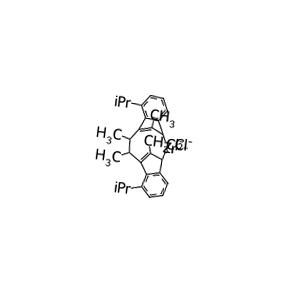 CC1=C2c3c(C(C)C)cccc3[CH]1[Zr+2][CH]1C(C)=C(c3c(C(C)C)cccc31)C(C)C2C.[Cl-].[Cl-]